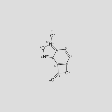 O=C1Oc2ccc3c(no[n+]3[O-])c21